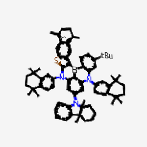 CC(C)(C)c1ccc2c(c1)N(c1ccc3c(c1)C(C)(C)CCC3(C)C)c1cc(N3c4ccccc4C4(C)CCCCC34C)cc3c1B2c1c(sc2cc4c(cc12)C1(C)CCC4(C)CC1)N3c1ccc2c(c1)C(C)(C)CCC2(C)C